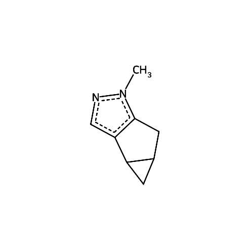 Cn1ncc2c1CC1CC21